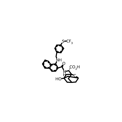 O=C(N[C@H](C(=O)O)C12CC3CC(CC(O)(C3)C1)C2)c1ccc2ccccc2c1NCc1ccc(SC(F)(F)F)cc1